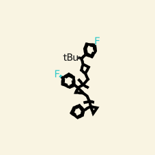 CC(C)(C)C(c1ccc(F)cc1)C1CC(CC(C)(C)C2(c3ccc(F)cc3)CC2CC(C)(C)C2(c3ccccc3)CC2)C1